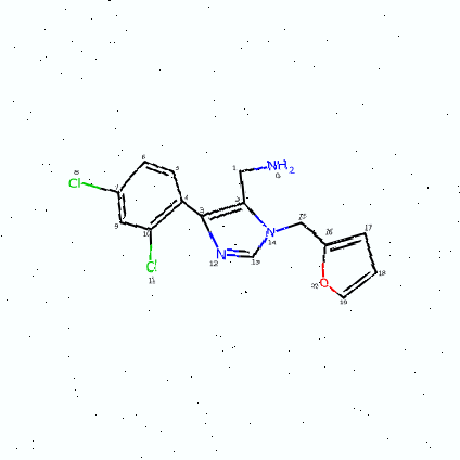 NCc1c(-c2ccc(Cl)cc2Cl)ncn1Cc1ccco1